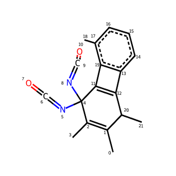 CC1=C(C)C(N=C=O)(N=C=O)C2=C(c3cccc(C)c32)C1C